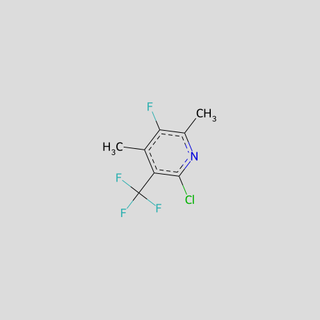 Cc1nc(Cl)c(C(F)(F)F)c(C)c1F